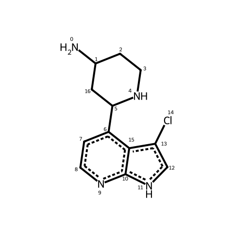 NC1CCNC(c2ccnc3[nH]cc(Cl)c23)C1